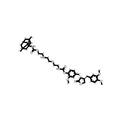 COc1ccc(C[C@H]2COC(=O)[C@@H]2Cc2ccc(OC(=O)NCCOCCNCCOC(=O)NC34CC5CC(C)(CC(C)(C5)C3)C4)c(OC)c2)cc1OC